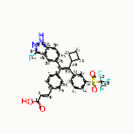 O=C(O)/C=C/c1ccc(/C(=C(\c2cccc(S(=O)(=O)C(F)(F)F)c2)C2CCC2)c2ccc3[nH]nc(F)c3c2)cc1